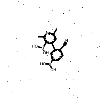 Cc1cc(-c2cc(B(O)O)ccc2C#N)c(B(O)O)c(C)n1